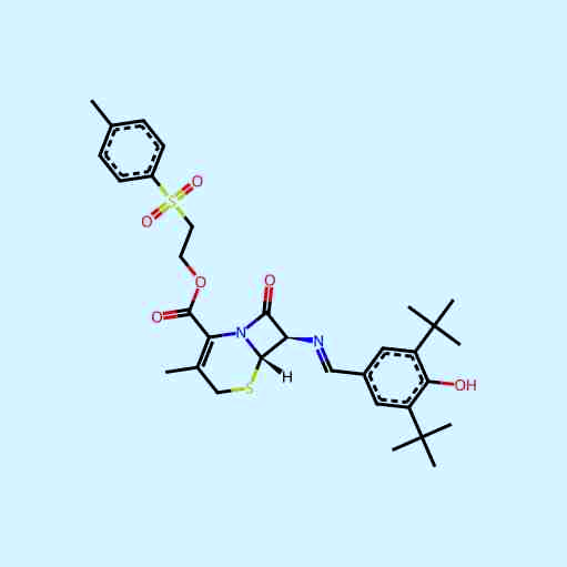 CC1=C(C(=O)OCCS(=O)(=O)c2ccc(C)cc2)N2C(=O)[C@@H](N=Cc3cc(C(C)(C)C)c(O)c(C(C)(C)C)c3)[C@@H]2SC1